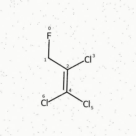 FCC(Cl)=C(Cl)Cl